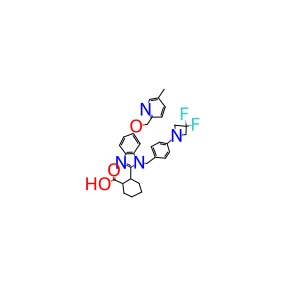 Cc1ccc(COc2ccc3nc(C4CCCCC4C(=O)O)n(Cc4ccc(N5CC(F)(F)C5)cc4)c3c2)nc1